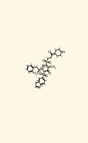 CC(CS(=O)(=O)CCC(=O)N1CCNCC1)C(=O)N([C@H](N)[C@@H](C)Cc1ccccc1)S(=O)(=O)c1ccc2ncsc2c1